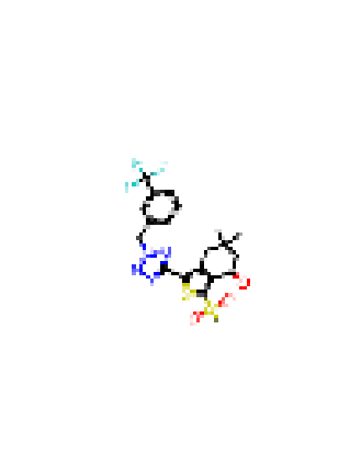 CC1(C)CC(=O)c2c(S(C)(=O)=O)sc(-c3nnn(Cc4cccc(C(F)(F)F)c4)n3)c2C1